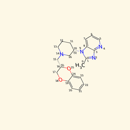 Cc1nc2ncccc2n1[C@H]1CCCN(C[C@H]2COc3ccccc3O2)C1